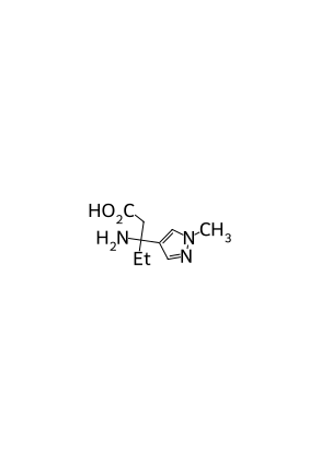 CCC(N)(CC(=O)O)c1cnn(C)c1